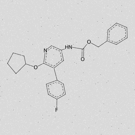 O=C(Nc1cnc(OC2CCCC2)c(-c2ccc(F)cc2)c1)OCc1ccccc1